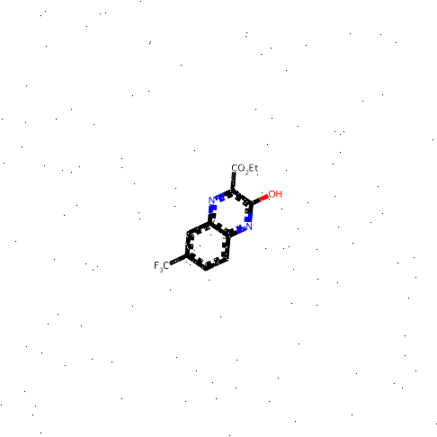 CCOC(=O)c1nc2cc(C(F)(F)F)ccc2nc1O